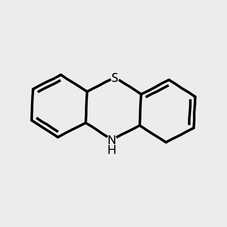 C1=CCC2NC3C=CC=CC3SC2=C1